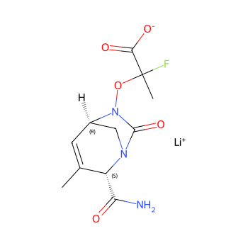 CC1=C[C@@H]2CN(C(=O)N2OC(C)(F)C(=O)[O-])[C@@H]1C(N)=O.[Li+]